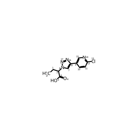 CCC(C(=O)O)n1cc(-c2ccc(Cl)nc2)nn1